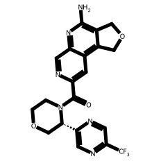 Nc1nc2cnc(C(=O)N3CCOC[C@H]3c3cnc(C(F)(F)F)cn3)cc2c2c1COC2